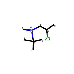 CC(Cl)CN(C)C(C)(C)C